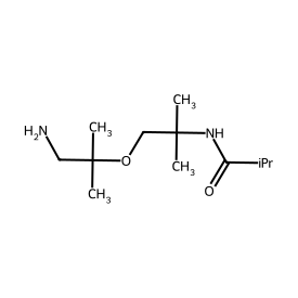 CC(C)C(=O)NC(C)(C)COC(C)(C)CN